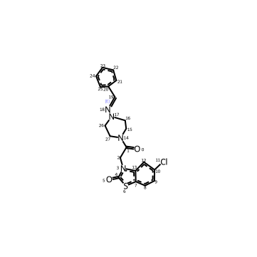 O=C(Cn1c(=O)sc2ccc(Cl)cc21)N1CCN(/N=C/c2ccccc2)CC1